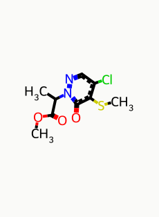 COC(=O)C(C)n1ncc(Cl)c(SC)c1=O